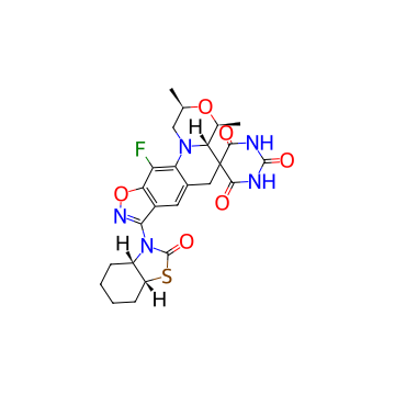 C[C@@H]1CN2c3c(cc4c(N5C(=O)S[C@@H]6CCCC[C@@H]65)noc4c3F)CC3(C(=O)NC(=O)NC3=O)[C@H]2[C@H](C)O1